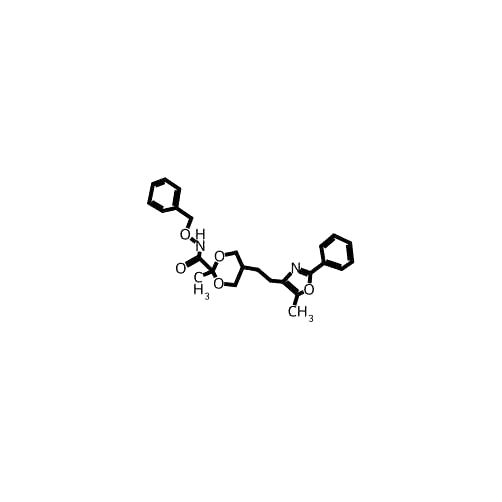 Cc1oc(-c2ccccc2)nc1CCC1COC(C)(C(=O)NOCc2ccccc2)OC1